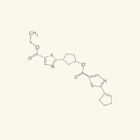 CCOC(=O)c1cnc(C2CCC(OC(=O)c3cnc(C4=CCCC4)s3)C2)s1